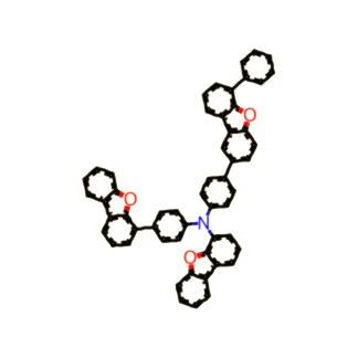 c1ccc(-c2cccc3c2oc2ccc(-c4ccc(N(c5ccc(-c6cccc7c6oc6ccccc67)cc5)c5cccc6c5oc5ccccc56)cc4)cc23)cc1